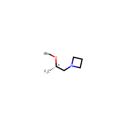 CC(C)(C)O[C@H](CN1CCC1)C(F)(F)F